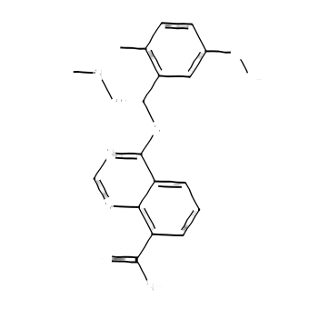 CNC[C@@H](Nc1ncnc2c(C(N)=O)cccc12)c1cc(OC)ccc1C